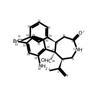 C=C(C)[C@@H]1CNC(=O)C[C@H](c2cccc(Cl)c2)[C@]1(C=O)c1ccc(Br)cc1N